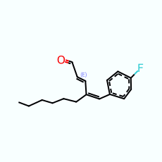 CCCCCCC(=Cc1ccc(F)cc1)/C=C/C=O